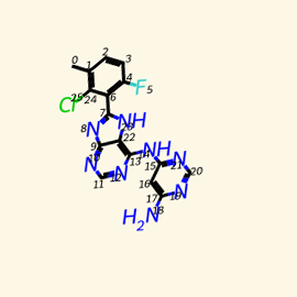 Cc1ccc(F)c(-c2nc3ncnc(Nc4cc(N)ncn4)c3[nH]2)c1Cl